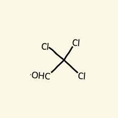 O=[C]C(Cl)(Cl)Cl